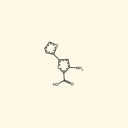 Nc1cc(-c2cccs2)sc1C(=O)O